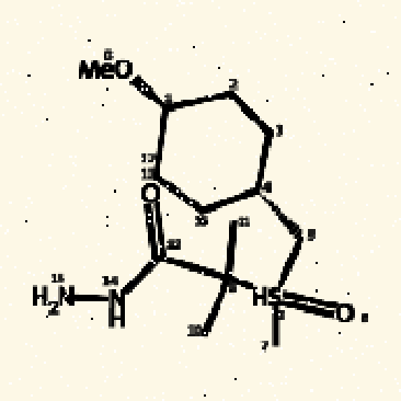 CO[C@H]1CC[C@H](C[SH](C)(=O)C(C)(C)C(=O)NN)CC1